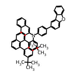 CC(C)(C)c1cc(-c2cccc3cccc(-c4ccccc4N(c4ccc(-c5ccc6oc7ccccc7c6c5)cc4)c4ccc5ccccc5c4)c23)cc(C(C)(C)C)c1